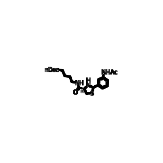 CCCCCCCCCCCCCCNC(=O)[C@@H]1CSC(c2cccc(NC(C)=O)c2)N1